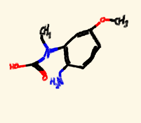 COc1ccc(N)c(N(C)C(=O)O)c1